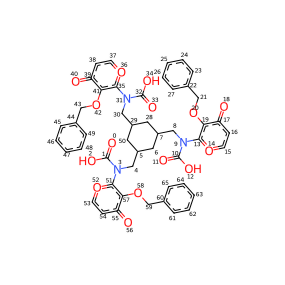 O=C(O)N(CC1CC(CN(C(=O)O)c2occc(=O)c2OCc2ccccc2)CC(CN(C(=O)O)c2occc(=O)c2OCc2ccccc2)C1)c1occc(=O)c1OCc1ccccc1